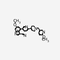 CCOc1cc(-c2ccc(C3=CCN(Cc4ccc(OC)nc4)CC3)nc2)c2c(C#N)cnn2c1